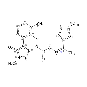 CCC(N/N=C(/C)c1cnn(C)c1)OCc1c(C)cccc1-n1nnn(C)c1=O